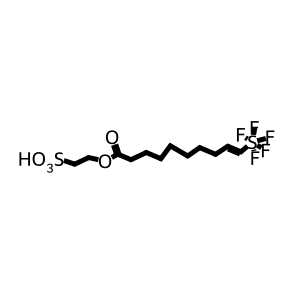 O=C(CCCCCCC/C=C/S(F)(F)(F)(F)F)OCCS(=O)(=O)O